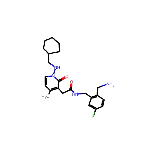 Cc1ccn(NCC2CCCCC2)c(=O)c1CC(=O)NCc1cc(F)ccc1CN